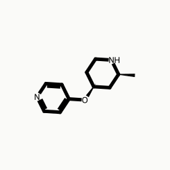 C[C@H]1C[C@@H](Oc2ccncc2)CCN1